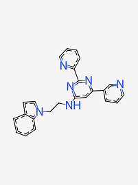 c1ccc(-c2nc(NCCn3ccc4ccccc43)cc(-c3cccnc3)n2)nc1